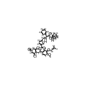 COc1ccc(C(Cc2c(Cl)c[n+]([O-])cc2Cl)OC(=O)c2ccc(CNC(C(=O)O[C@H]3CN4CCC3CC4)c3ccccc3)s2)cc1OCC1CC1